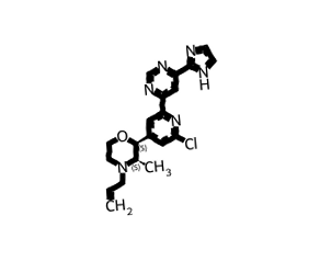 C=CCN1CCO[C@@H](c2cc(Cl)nc(-c3cc(-c4ncc[nH]4)ncn3)c2)[C@@H]1C